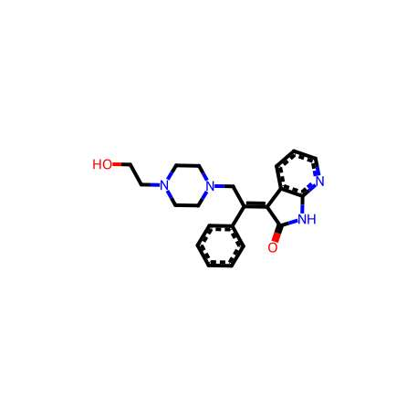 O=C1Nc2ncccc2C1=C(CN1CCN(CCO)CC1)c1ccccc1